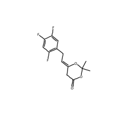 CC1(C)OC(=O)CC(=CCc2cc(F)c(F)cc2F)O1